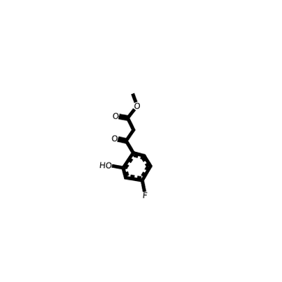 COC(=O)CC(=O)c1ccc(F)cc1O